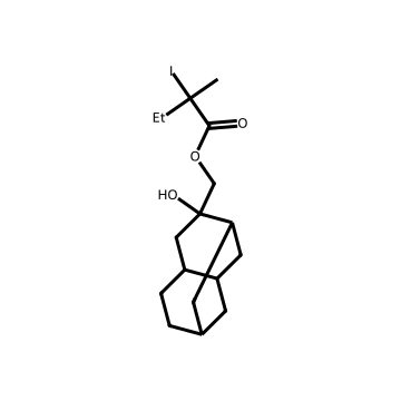 CCC(C)(I)C(=O)OCC1(O)CC2CCC3CC2CC1C3